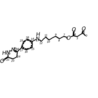 CC(=O)CC(=O)OCCCCCCNc1ccc(C2=NNC(=O)CC2)cc1